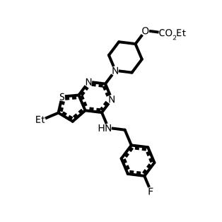 CCOC(=O)OC1CCN(c2nc(NCc3ccc(F)cc3)c3cc(CC)sc3n2)CC1